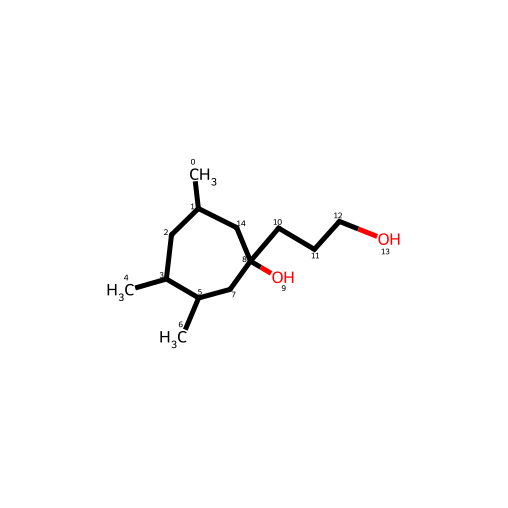 CC1CC(C)C(C)CC(O)(CCCO)C1